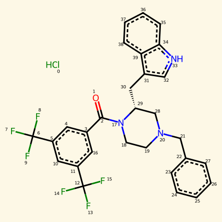 Cl.O=C(c1cc(C(F)(F)F)cc(C(F)(F)F)c1)N1CCN(Cc2ccccc2)C[C@H]1Cc1c[nH]c2ccccc12